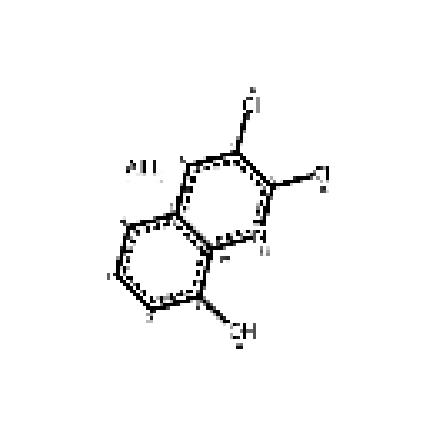 Oc1cccc2cc(Cl)c(Cl)nc12.[AlH3]